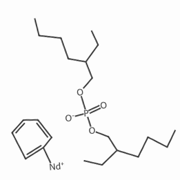 CCCCC(CC)COP(=O)([O-])OCC(CC)CCCC.[Nd+][c]1ccccc1